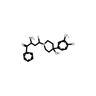 O=C(c1ccccc1)C(CC(F)N1CCC(O)(c2ccc(Cl)c(C(F)(F)F)c2)CC1)[N+](=O)[O-]